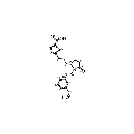 O=C(O)c1ccc(CCCC2CCC(=O)N2CCc2cccc(CO)c2)s1